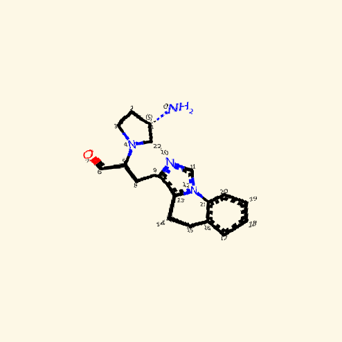 N[C@H]1CCN(C(C=O)Cc2ncn3c2CCc2ccccc2-3)C1